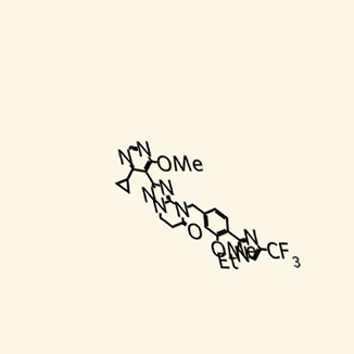 CCn1cc(C(F)(F)F)nc1-c1ccc(CN2C(=O)CCn3nc(-c4c(OC)ncnc4C4CC4)nc32)cc1OC